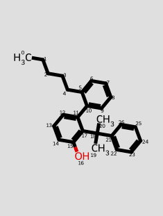 CCCCCc1ccccc1-c1cccc(O)c1C(C)(C)c1ccccc1